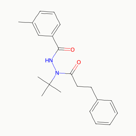 Cc1cccc(C(=O)NN(C(=O)CCc2ccccc2)C(C)(C)C)c1